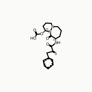 O=C(O)O[C@H]1CCCN2CCC[C@H](NC(=O)C(=S)Cc3ccccc3)C(=O)N12